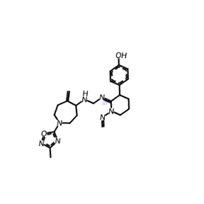 C=NN1CCCC(c2ccc(O)cc2)/C1=N/CNC1CCN(c2nc(C)no2)CCC1=C